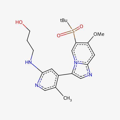 COc1cc2ncc(-c3cc(NCCCO)ncc3C)n2cc1S(=O)(=O)C(C)(C)C